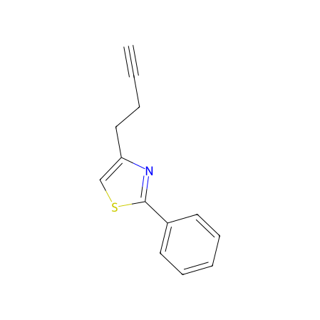 C#CCCc1csc(-c2ccccc2)n1